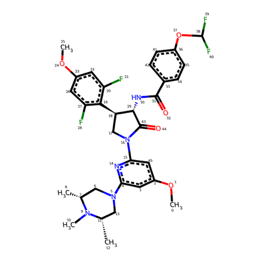 COc1cc(N2C[C@@H](C)N(C)[C@@H](C)C2)nc(N2C[C@@H](c3c(F)cc(OC)cc3F)[C@H](NC(=O)c3ccc(OC(F)F)cc3)C2=O)c1